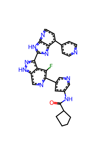 O=C(Nc1cncc(-c2ncc3[nH]nc(-c4nc5c(-c6ccncc6)ccnc5[nH]4)c3c2F)c1)C1CCCC1